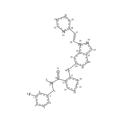 CN(Cc1cccc(F)c1)C(=O)c1ccccc1Sc1ccc2cnn(C=Cc3ccccn3)c2c1